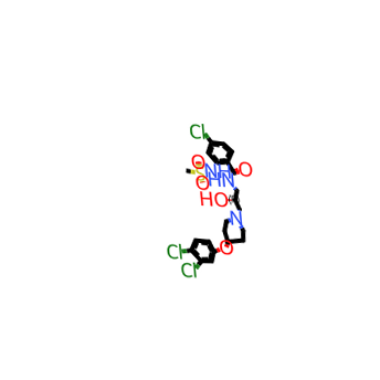 CS(=O)(=O)Nc1cc(Cl)ccc1C(=O)NC[C@@H](O)CN1CCC(Oc2ccc(Cl)c(Cl)c2)CC1